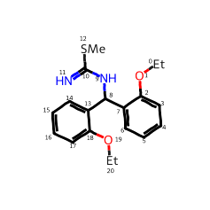 CCOc1ccccc1C(NC(=N)SC)c1ccccc1OCC